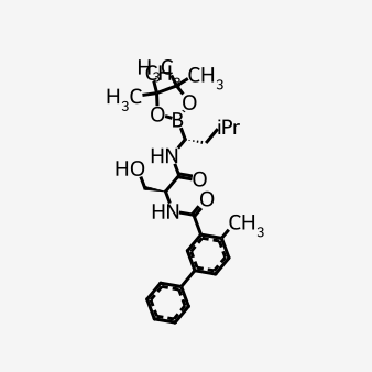 Cc1ccc(-c2ccccc2)cc1C(=O)N[C@@H](CO)C(=O)N[C@@H](CC(C)C)B1OC(C)(C)C(C)(C)O1